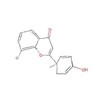 CC1(c2cc(=O)c3cccc(Cl)c3o2)C=CC(O)=CC1